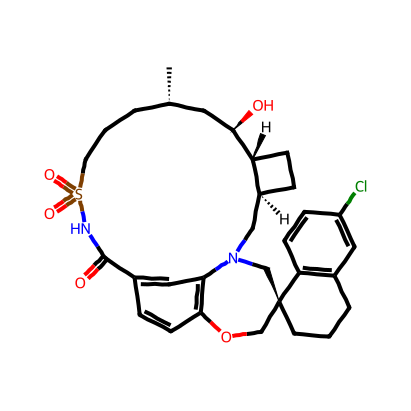 C[C@H]1CCCS(=O)(=O)NC(=O)c2ccc3c(c2)N(C[C@@H]2CC[C@H]2[C@H](O)C1)C[C@@]1(CCCc2cc(Cl)ccc21)CO3